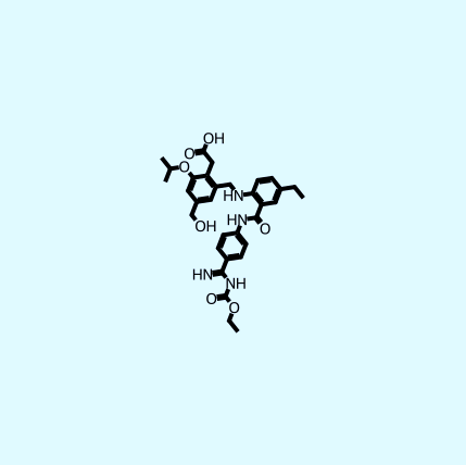 CCOC(=O)NC(=N)c1ccc(NC(=O)c2cc(CC)ccc2NCc2cc(CO)cc(OC(C)C)c2CC(=O)O)cc1